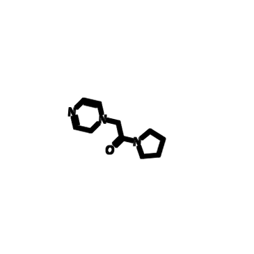 O=C(CN1C=CN=CC1)N1CCCC1